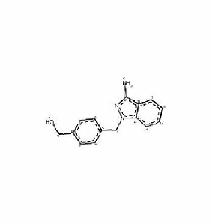 Nc1nn(Cc2ccc(CO)cc2)c2ccccc12